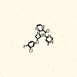 Cc1cc(NC(=O)c2nccnc2N2CC(Oc3ccc(F)c(Cl)c3)C2)ncn1